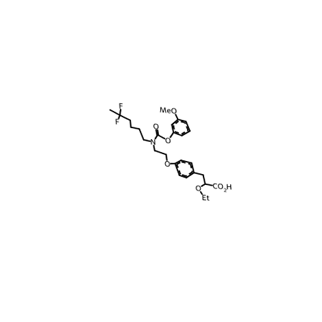 CCOC(Cc1ccc(OCCN(CCCCC(C)(F)F)C(=O)Oc2cccc(OC)c2)cc1)C(=O)O